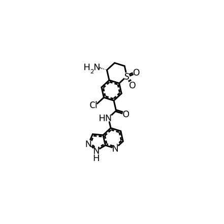 N[C@@H]1CCS(=O)(=O)c2cc(C(=O)Nc3ccnc4[nH]ncc34)c(Cl)cc21